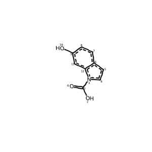 O=C(O)n1ccc2ccc(O)cc21